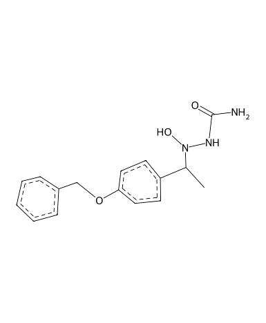 CC(c1ccc(OCc2ccccc2)cc1)N(O)NC(N)=O